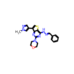 Cn1cc(-c2csc3c(NN=Cc4ccccc4)nc(N4CCOCC4)nc23)cn1